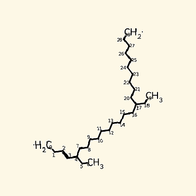 [CH2]C/C=C/C(CC)CCCCCCCCCCC(CC)CCCCCCCCC[CH2]